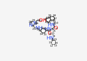 C[C@H](NC(=O)[C@H](CCCNC1CCCCC1)NC(=O)c1ccc(CNCc2nccn2CCO)cc1)c1cccc2ccccc12